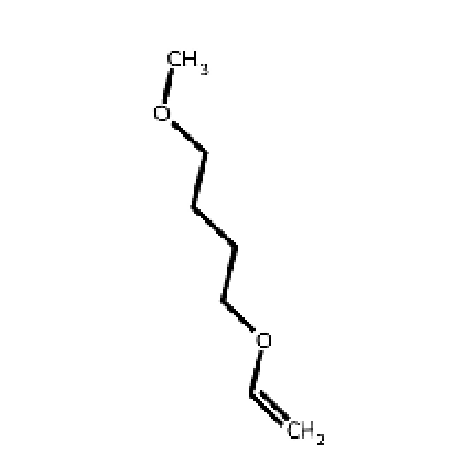 C=COCCCCOC